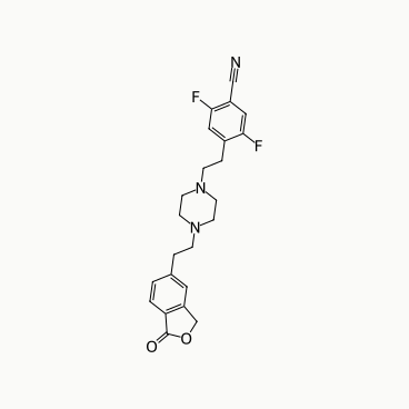 N#Cc1cc(F)c(CCN2CCN(CCc3ccc4c(c3)COC4=O)CC2)cc1F